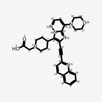 O=C(O)CN1CCC(c2c(C#Cc3ccc4ccccc4n3)nc3c(N4CCOCC4)ccnn23)CC1